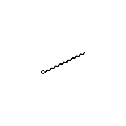 CCCCCC=CCC=CCC=CCCCCCCC=O